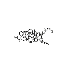 Cc1ccc(N(c2ccc(C)cc2)c2ccc3c(c2)C(C)(C)c2cc(-c4ccc5c6c4C(C)(C)C=CN6c4ccccc4C5(C)C)ccc2-3)cc1